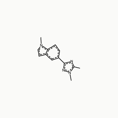 Cc1nc(-c2ccc3c(ccn3C)c2)nn1C